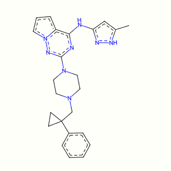 Cc1cc(Nc2nc(N3CCN(CC4(c5ccccc5)CC4)CC3)nn3cccc23)n[nH]1